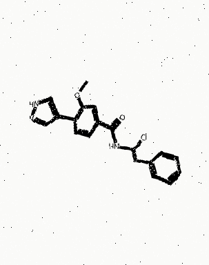 COc1cc(C(=O)NC(Cl)Cc2ccccc2)ccc1-c1cn[nH]c1